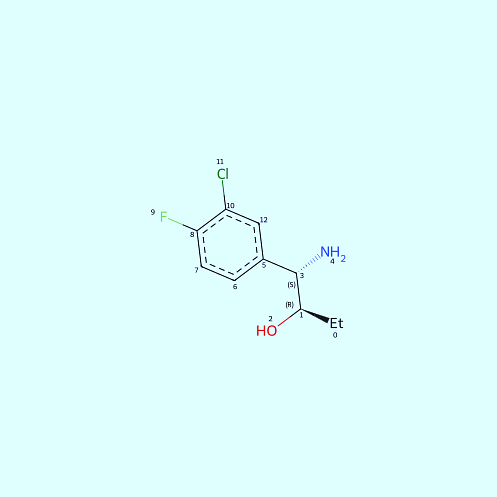 CC[C@@H](O)[C@@H](N)c1ccc(F)c(Cl)c1